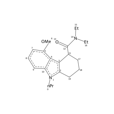 CCCn1c2c(c3c(OC)cccc31)C(C(=O)N(CC)CC)CCC2